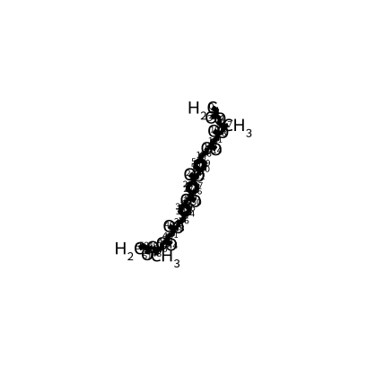 C=CC(=O)OCC(C)OC(=O)CCC(=O)OCCc1ccc(OC(=O)C2CCC(C(=O)Oc3ccc(CCOC(=O)CCC(=O)OCC(C)OC(=O)C=C)cc3)CC2)cc1